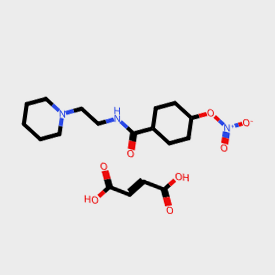 O=C(NCCN1CCCCC1)C1CCC(O[N+](=O)[O-])CC1.O=C(O)C=CC(=O)O